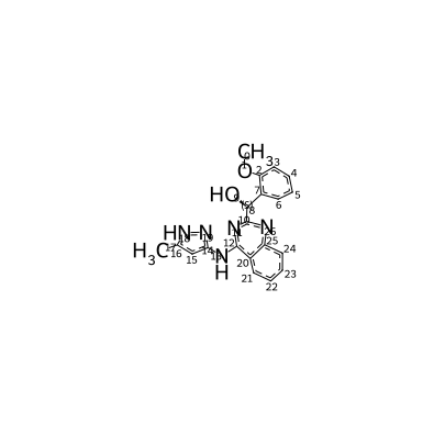 COc1ccccc1[C@H](O)c1nc(Nc2cc(C)[nH]n2)c2ccccc2n1